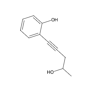 CC(O)CC#Cc1ccccc1O